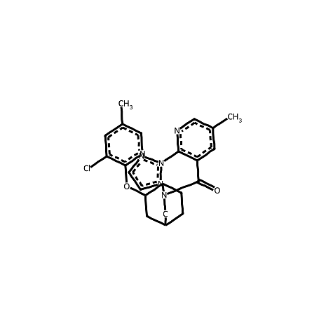 Cc1cnc(OC2CC3CCC2N(C(=O)c2cc(C)cnc2-n2nccn2)C3)c(Cl)c1